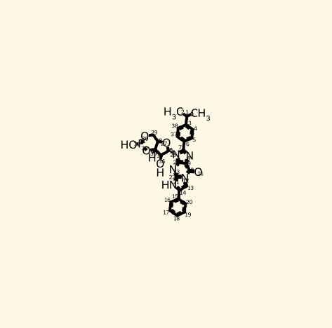 CC(C)c1ccc(-c2nc3c(=O)n4cc(-c5ccccc5)[nH]c4nc3n2[C@@H]2OC3COP(O)O[C@H]3C2O)cc1